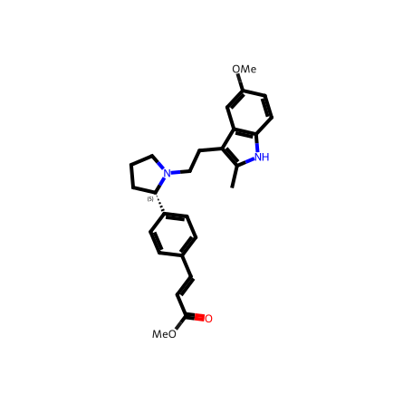 COC(=O)C=Cc1ccc([C@@H]2CCCN2CCc2c(C)[nH]c3ccc(OC)cc23)cc1